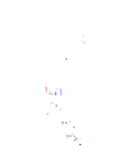 CCCCCCCCCCCCCCCCCCNC(=O)C1CSC(c2ccc([N+](=O)[O-])cc2)N1